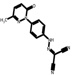 Cc1ccc(=O)n(-c2ccc(NN=C(C#N)C#N)cc2)n1